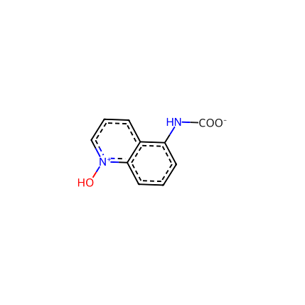 O=C([O-])Nc1cccc2c1ccc[n+]2O